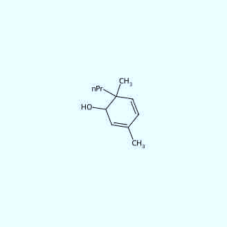 CCCC1(C)C=CC(C)=CC1O